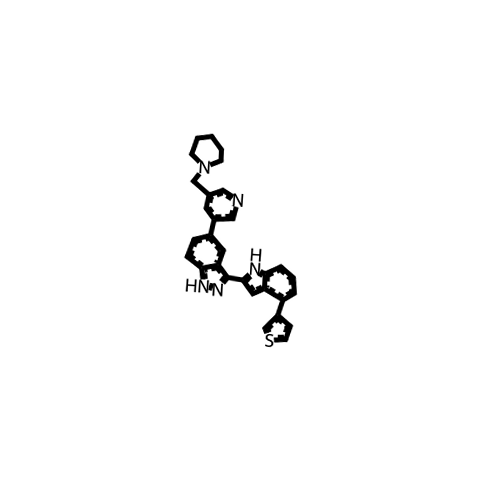 c1cc(-c2ccsc2)c2cc(-c3n[nH]c4ccc(-c5cncc(CN6CCCCC6)c5)cc34)[nH]c2c1